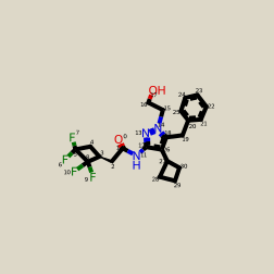 O=C(C[C@@H]1CC(F)(F)C1(F)F)Nc1nn(CCO)c(Cc2ccccc2)c1C1CCC1